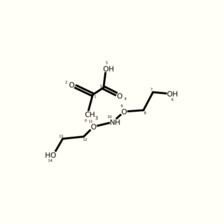 CC(=O)C(=O)O.OCCONOCCO